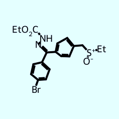 CCOC(=O)NN=C(c1ccc(Br)cc1)c1ccc(C[S+]([O-])CC)cc1